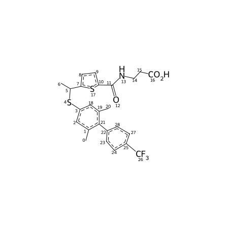 Cc1cc(SC(C)c2ccc(C(=O)NCCC(=O)O)s2)cc(C)c1-c1ccc(C(F)(F)F)cc1